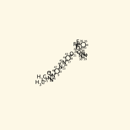 CCC(C)n1ncn(-c2ccc(N3CCN(c4ccc(OC[C@@H]5CO[C@@](Cn6nccn6)(c6ccccc6C(F)(F)F)O5)cc4)CC3)cc2)c1=O